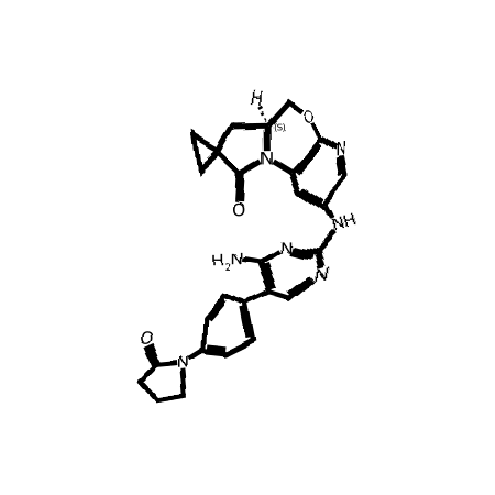 Nc1nc(Nc2cnc3c(c2)N2C(=O)C4(CC4)C[C@H]2CO3)ncc1-c1ccc(N2CCCC2=O)cc1